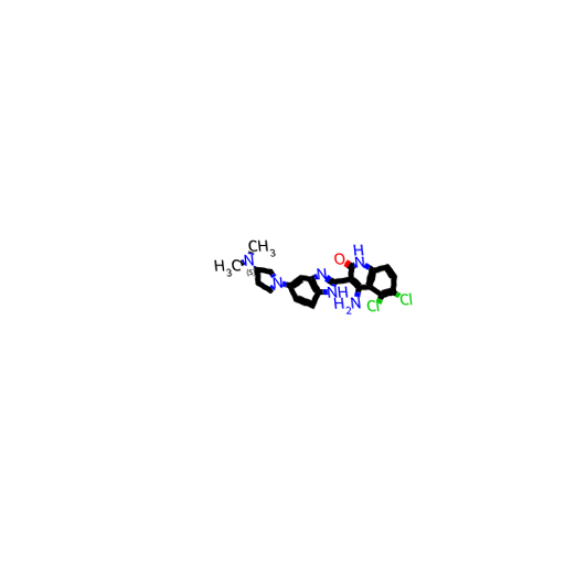 CN(C)[C@H]1CCN(c2ccc3[nH]c(-c4c(N)c5c(Cl)c(Cl)ccc5[nH]c4=O)nc3c2)C1